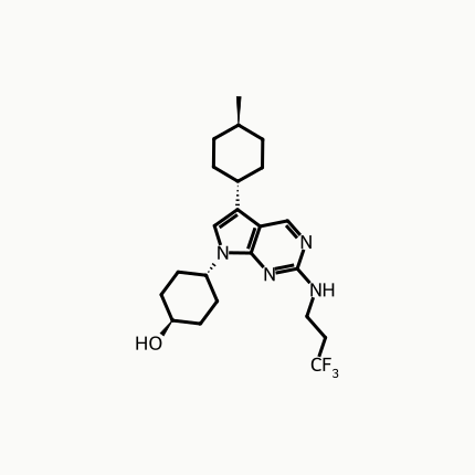 C[C@H]1CC[C@H](c2cn([C@H]3CC[C@H](O)CC3)c3nc(NCCC(F)(F)F)ncc32)CC1